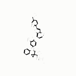 NC(=O)C1(C(=O)N(c2ccccc2)c2ccc(Oc3ccnc4cc(-c5ccc(C=O)cn5)sc34)c(F)c2)CC1